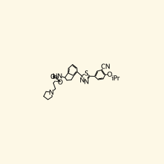 CC(C)Oc1ccc(-c2nnc(-c3cccc4c3CCC4NS(=O)(=O)CCN3CCCC3)s2)cc1C#N